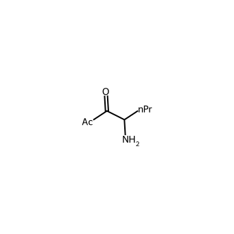 CCCC(N)C(=O)C(C)=O